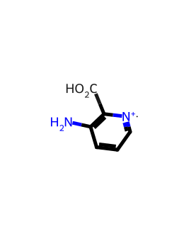 NC1=C(C(=O)O)[N+]=CC=C1